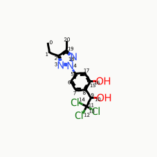 CCc1nn(-c2ccc(C(O)C(Cl)(Cl)Cl)c(O)c2)nc1C